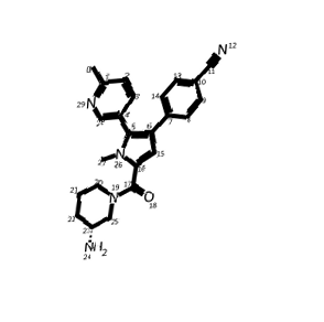 Cc1ccc(-c2c(-c3ccc(C#N)cc3)cc(C(=O)N3CCC[C@@H](N)C3)n2C)cn1